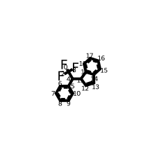 FC(F)(F)C(c1ccccc1)C1C=Cc2ccccc21